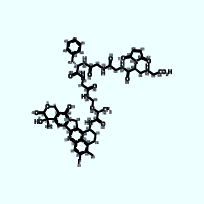 CC[C@@]1(O)C(=O)OCc2c1cc1n(c2=O)Cc2c-1nc1cc(F)c(C)c3c1c2[C@@H](NC(=O)[C@@H](OCNC(=O)CNC(=O)[C@H](Cc1ccccc1)NC(=O)CNC(=O)CNC(=O)[C@H](CNCC(=O)O)N1C(=O)C=CC1=O)C(F)(F)F)CC3